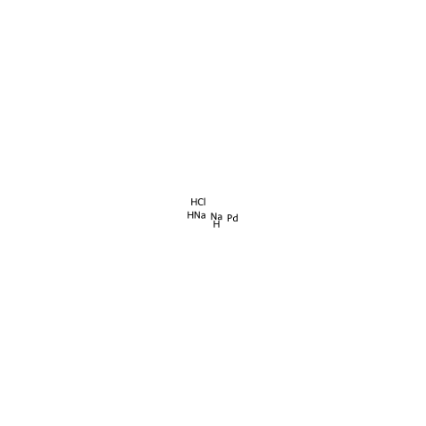 Cl.[NaH].[NaH].[Pd]